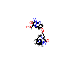 NC(=O)C(CCOc1ccc2c(c1)CN1C(=N2)NC(=O)C1CO)N1CCCc2ccccc21